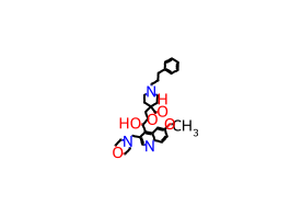 COc1ccc2ncc(CN3CCOCC3)c(C(O)CCC3(C(=O)O)CCN(CCCc4ccccc4)CC3)c2c1